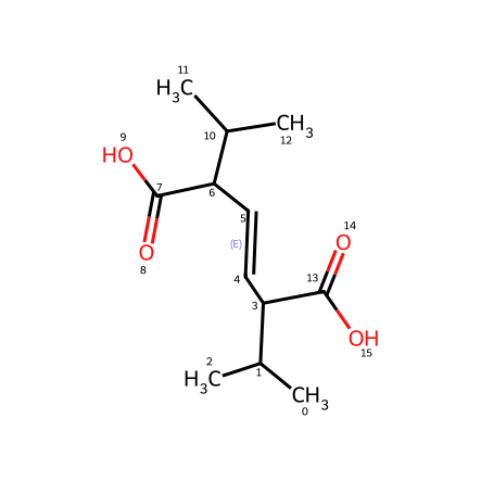 CC(C)C(/C=C/C(C(=O)O)C(C)C)C(=O)O